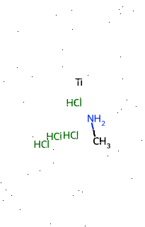 CN.Cl.Cl.Cl.Cl.[Ti]